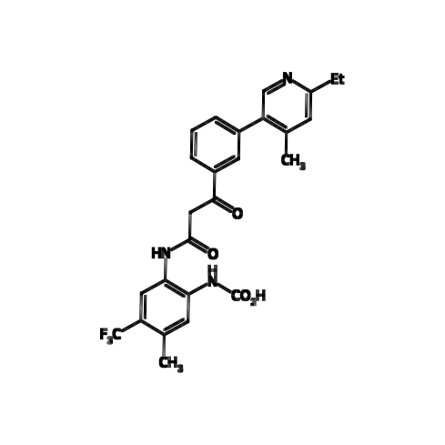 CCc1cc(C)c(-c2cccc(C(=O)CC(=O)Nc3cc(C(F)(F)F)c(C)cc3NC(=O)O)c2)cn1